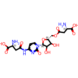 N[C@@H](CC(=O)Nc1ccn([C@@H]2O[C@H](COC(=O)C[C@H](N)C(=O)O)C(O)C2O)c(=O)n1)C(=O)O